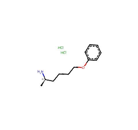 C[C@@H](N)CCCCOc1ccccc1.Cl.Cl